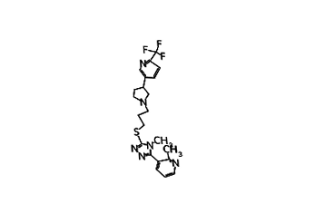 Cc1ncccc1-c1nnc(SCCCN2CCC(c3ccc(C(F)(F)F)nc3)C2)n1C